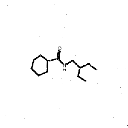 CCC(CC)CNC(=O)C1CCCCC1